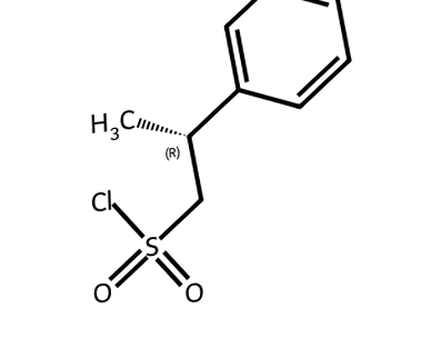 C[C@@H](CS(=O)(=O)Cl)c1ccccc1